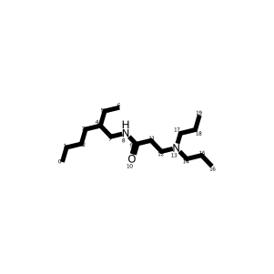 CCCCC(CC)CNC(=O)CCN(CCC)CCC